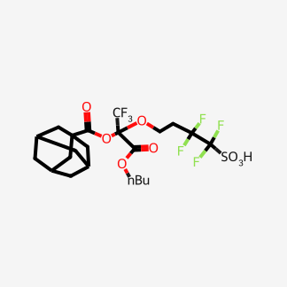 CCCCOC(=O)C(OCCC(F)(F)C(F)(F)S(=O)(=O)O)(OC(=O)C12CC3CC(CC(C3)C1)C2)C(F)(F)F